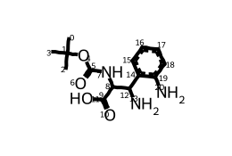 CC(C)(C)OC(=O)NC(C(=O)O)C(N)c1ccccc1N